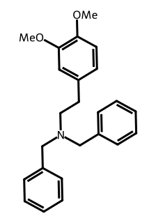 COc1ccc(CCN(Cc2ccccc2)Cc2ccccc2)cc1OC